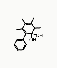 CC1=C(C)C(C)C(O)(O)C(c2ccccc2)=C1C